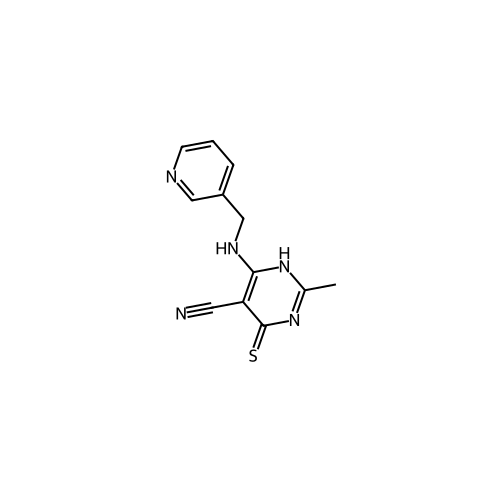 Cc1nc(=S)c(C#N)c(NCc2cccnc2)[nH]1